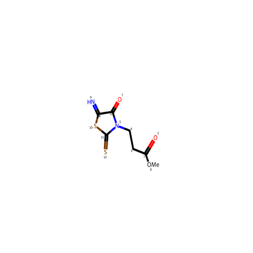 COC(=O)CCN1C(=O)C(=N)SC1=S